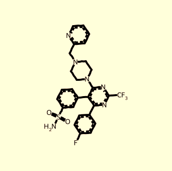 NS(=O)(=O)c1cccc(-c2c(-c3ccc(F)cc3)nc(C(F)(F)F)nc2N2CCN(Cc3ccccn3)CC2)c1